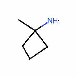 CC1([NH])CCC1